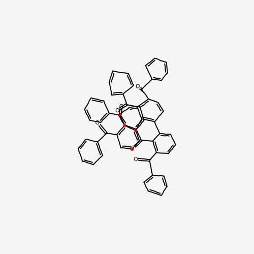 O=C(c1ccccc1)c1cccc(-c2ccc(C(=O)c3ccccc3)c(C(=O)c3ccccc3)c2-c2cccc(C(=O)c3ccccc3)c2C(=O)c2ccccc2)c1C(=O)c1ccccc1